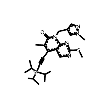 CSc1ncc2c(C#C[Si](C(C)C)(C(C)C)C(C)C)c(C)c(=O)n(Cc3cnn(C)c3)c2n1